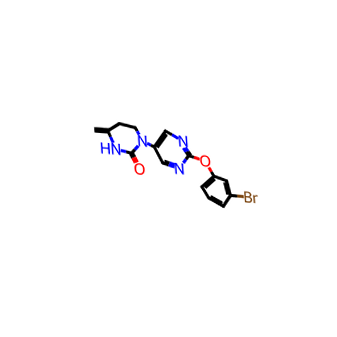 C=C1CCN(c2cnc(Oc3cccc(Br)c3)nc2)C(=O)N1